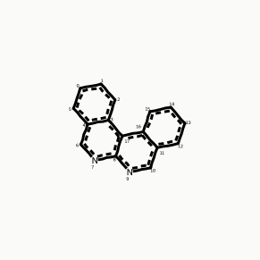 c1ccc2c(c1)cnc1ncc3ccccc3c12